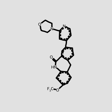 O=C1Nc2cc(OC(F)(F)F)ccc2Cc2ccc(-c3ccnc(N4CCOCC4)c3)cc21